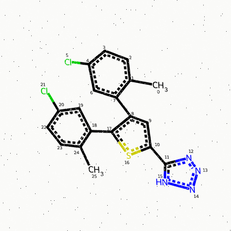 Cc1ccc(Cl)cc1-c1cc(-c2nnn[nH]2)sc1-c1cc(Cl)ccc1C